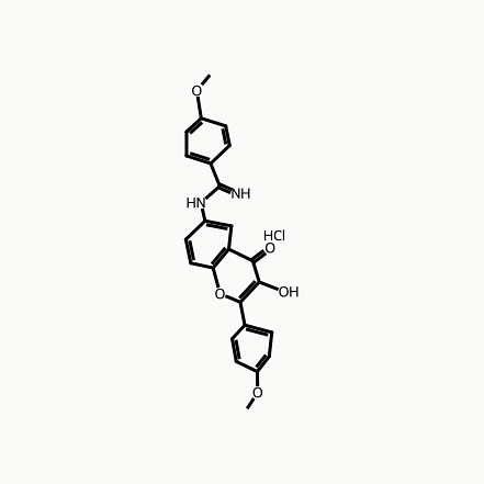 COc1ccc(C(=N)Nc2ccc3oc(-c4ccc(OC)cc4)c(O)c(=O)c3c2)cc1.Cl